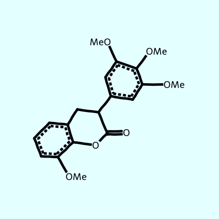 COc1cccc2c1OC(=O)C(c1cc(OC)c(OC)c(OC)c1)C2